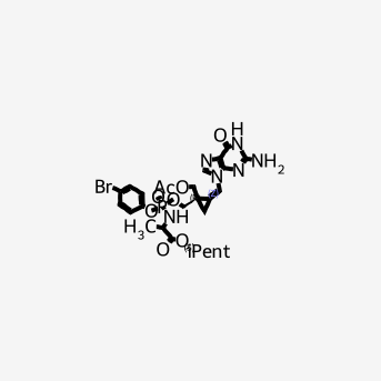 CCC[C@H](C)OC(=O)C(C)NP(=O)(OC[C@]1(COC(C)=O)C/C1=C/n1cnc2c(=O)[nH]c(N)nc21)Oc1ccc(Br)cc1